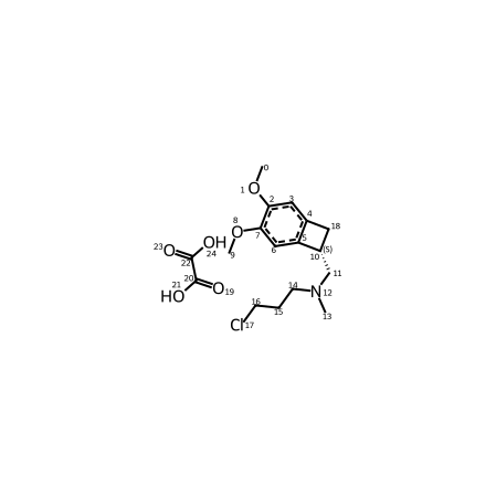 COc1cc2c(cc1OC)[C@@H](CN(C)CCCCl)C2.O=C(O)C(=O)O